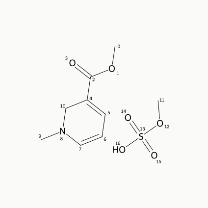 COC(=O)C1=CC=CN(C)C1.COS(=O)(=O)O